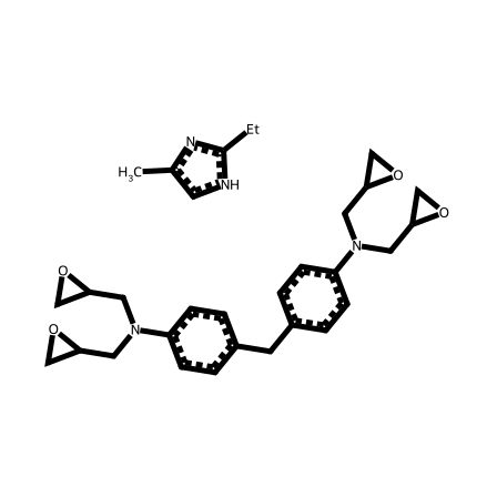 CCc1nc(C)c[nH]1.c1cc(N(CC2CO2)CC2CO2)ccc1Cc1ccc(N(CC2CO2)CC2CO2)cc1